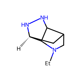 CCN1CC2C[C@@H]3NNC2C31